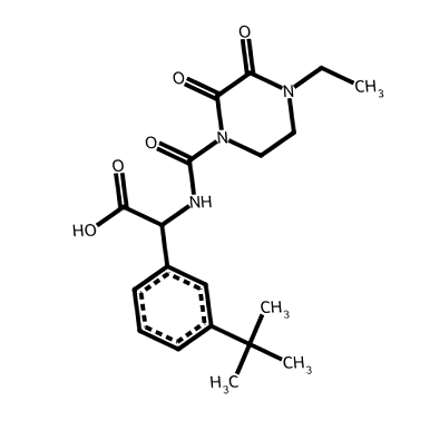 CCN1CCN(C(=O)NC(C(=O)O)c2cccc(C(C)(C)C)c2)C(=O)C1=O